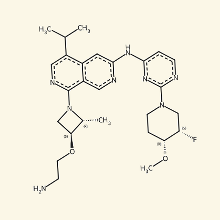 CO[C@@H]1CCN(c2nccc(Nc3cc4c(C(C)C)cnc(N5C[C@H](OCCN)[C@H]5C)c4cn3)n2)C[C@@H]1F